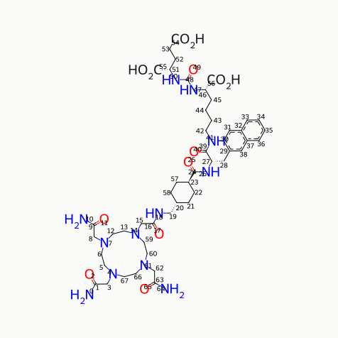 NC(=O)CN1CCN(CC(N)=O)CCN(CC(=O)NC[C@H]2CC[C@H](C(=O)N[C@@H](Cc3ccc4ccccc4c3)C(=O)NCCCC[C@H](NC(=O)N[C@@H](CCC(=O)O)C(=O)O)C(=O)O)CC2)CCN(CC(N)=O)CC1